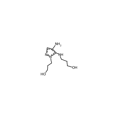 Nc1cnn(CCCO)c1NCCCO